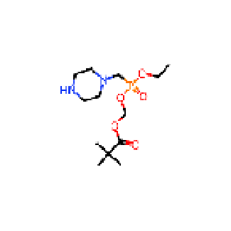 CCOP(=O)(CN1CCNCC1)OCOC(=O)C(C)(C)C